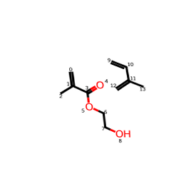 C=C(C)C(=O)OCCO.C=CC(=C)C